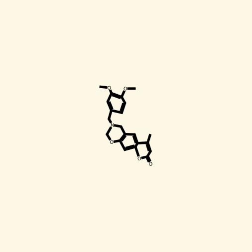 COc1ccc(CN2COc3cc4oc(=O)cc(C)c4cc3C2)cc1OC